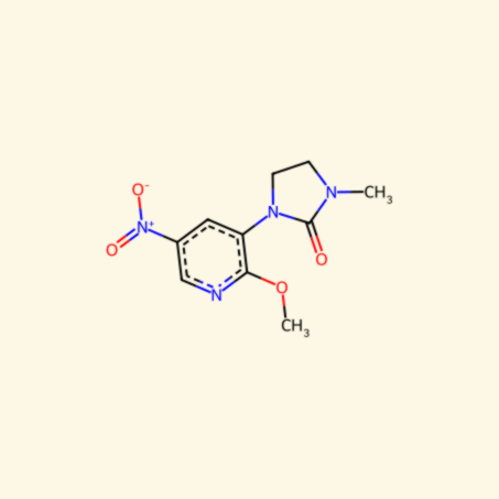 COc1ncc([N+](=O)[O-])cc1N1CCN(C)C1=O